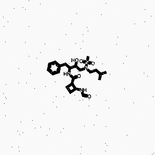 CC(C)CCN(CC(O)C(Cc1ccccc1)NC(=O)C1CCC1NC=O)S(C)(=O)=O